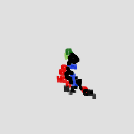 CCN1C(=O)c2c(O)c(=O)c(C(=O)NCc3cccc(Cl)c3F)cn2C[C@@]12C[C@@H]2COC